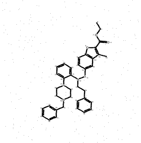 CCOC(=O)c1oc2ccc(SN(CCc3ccccc3)c3ccccc3N3CCN(Cc4ccccc4)CC3)cc2c1C